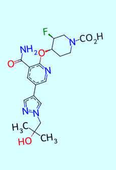 CC(C)(O)Cn1cc(-c2cnc(O[C@@H]3CCN(C(=O)O)C[C@@H]3F)c(C(N)=O)c2)cn1